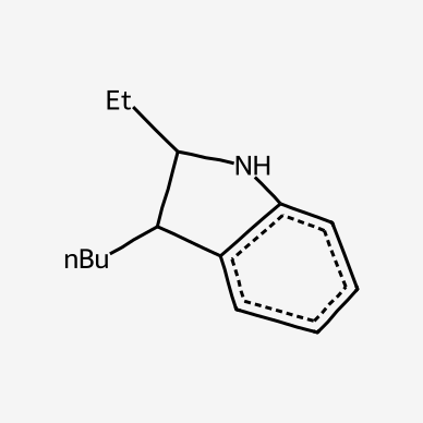 CCCCC1c2ccccc2NC1CC